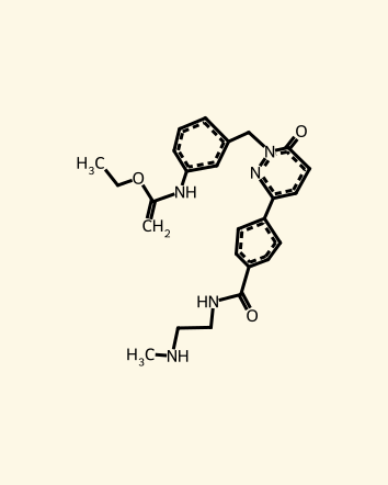 C=C(Nc1cccc(Cn2nc(-c3ccc(C(=O)NCCNC)cc3)ccc2=O)c1)OCC